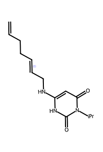 C=CCC/C=C/CNc1cc(=O)n(C(C)C)c(=O)[nH]1